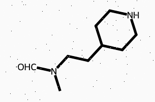 CN([C]=O)CCC1CCNCC1